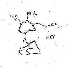 CSCc1cc(OC23CC4CC(CC(C4)C2)C3)cc(C)c1N.Cl